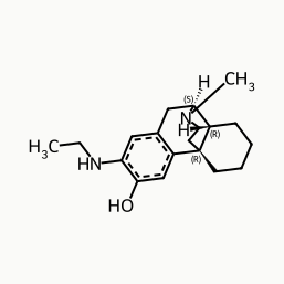 CCNc1cc2c(cc1O)[C@@]13CCCC[C@H]1[C@H](C2)N(C)CC3